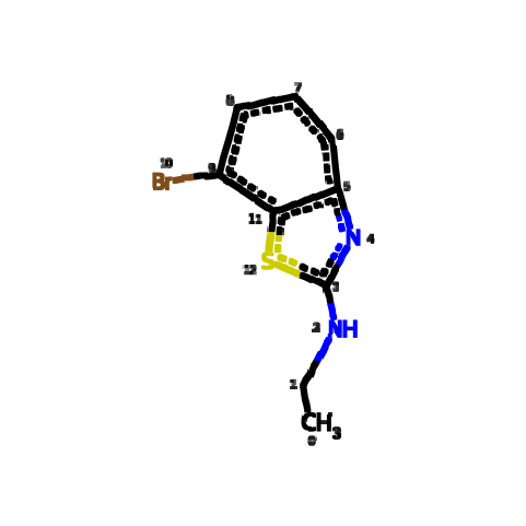 CCNc1nc2cccc(Br)c2s1